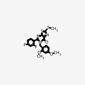 COc1ccc(Cn2c(-c3ccc(F)cc3F)nc3sc(SC)nc3c2=O)c(OC)c1